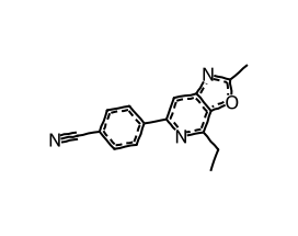 CCc1nc(-c2ccc(C#N)cc2)cc2nc(C)oc12